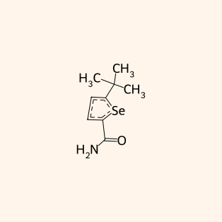 CC(C)(C)c1ccc(C(N)=O)[se]1